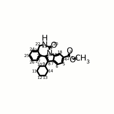 COC(=O)c1ccc2c(C3CCCCC3)c3n(c2c1)C(=O)NCc1ccccc1-3